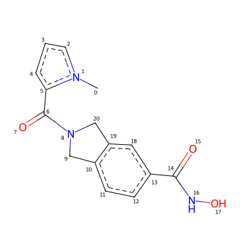 Cn1cccc1C(=O)N1Cc2ccc(C(=O)NO)cc2C1